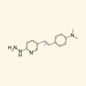 CN(C)c1ccc(/C=C/c2ccc(NN)nc2)cc1